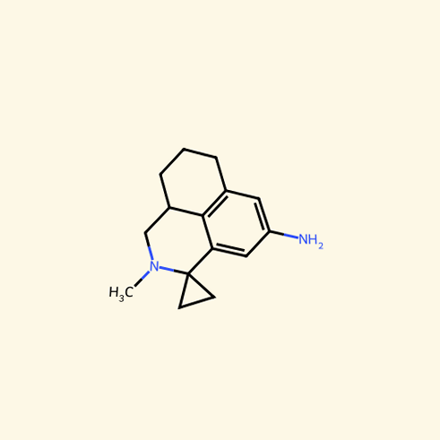 CN1CC2CCCc3cc(N)cc(c32)C12CC2